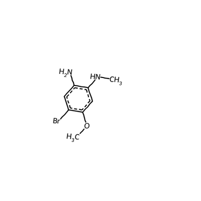 CNc1cc(OC)c(Br)cc1N